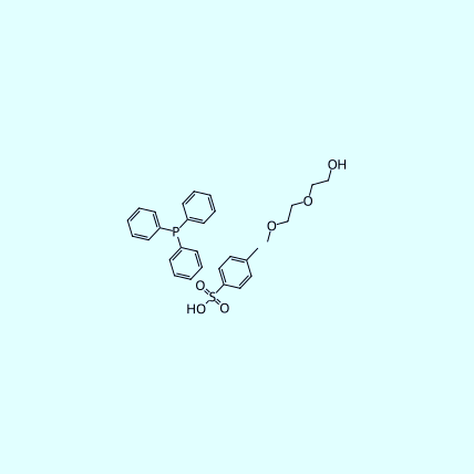 COCCOCCO.Cc1ccc(S(=O)(=O)O)cc1.c1ccc(P(c2ccccc2)c2ccccc2)cc1